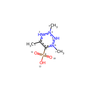 Cc1[nH]n(C)[nH]n(C)c1S(=O)(=O)O